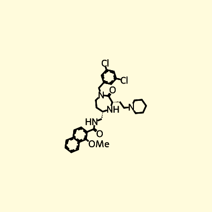 COc1c(C(=O)NC[C@@H]2CCN(Cc3cc(Cl)cc(Cl)c3)C(=O)[C@H](CCN3CCCCC3)N2)ccc2ccccc12